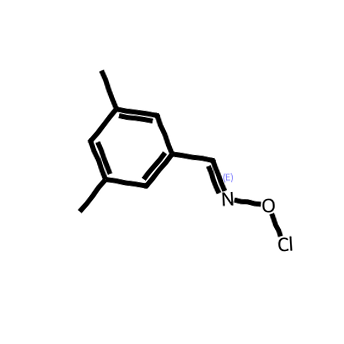 Cc1cc(C)cc(/C=N/OCl)c1